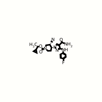 CC(OC(=O)N1CC[C@@H](n2cc(C(N)=O)c(Nc3ccc(F)cc3)n2)[C@@H](C#N)C1)C1CC1